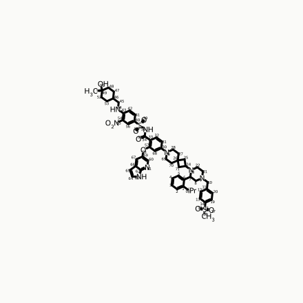 CC(C)c1ccccc1C1CN(Cc2ccc(S(C)(=O)=O)cc2)CCN1C1CC2(CCN(c3ccc(C(=O)NS(=O)(=O)c4ccc(NCC5CCC(C)(O)CC5)c([N+](=O)[O-])c4)c(Oc4cnc5[nH]ccc5c4)c3)CC2)C1